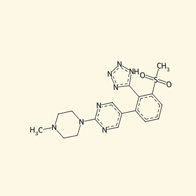 CN1CCN(c2ncc(-c3cccc(S(C)(=O)=O)c3-c3nnn[nH]3)cn2)CC1